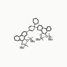 CC(C)(C)[Si](C)(C)Oc1c(O[Si](C)(C)C(C)(C)C)c2cc(C3=CCC(c4ccccc4)(c4ccc5c(c4)c(O[Si](C)(C)C(C)(C)C)c(O[Si](C)(C)C(C)(C)C)c4ccccc45)C=C3)ccc2c2ccccc12